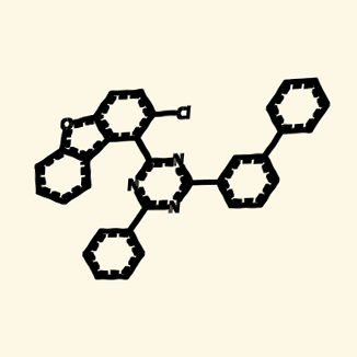 Clc1ccc2oc3ccccc3c2c1-c1nc(-c2ccccc2)nc(-c2cccc(-c3ccccc3)c2)n1